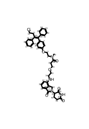 CN(CCOc1ccc(/C(=C(/CCCl)c2ccccc2)c2ccccc2)cc1)C(=O)CCOCCNc1cccc2c1CN(C1CCC(=O)NC1=O)C2=O